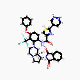 O=C(Nc1ccc(Oc2ccccc2)c(C(F)(F)F)c1N1CCN2CC[C@@H](N3C(=O)c4ccccc4C3=O)[C@@H]2C1)c1csc(-c2ccnnc2)n1